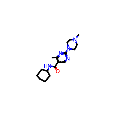 Cc1nc(N2CCN(C)CC2)ncc1C(=O)NC1CCCCC1